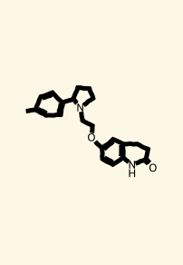 Cc1ccc(C2CCCN2CCOc2ccc3c(c2)CCC(=O)N3)cc1